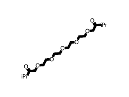 CC(C)C(=O)COCCOCCOCCOCCOCC(=O)C(C)C